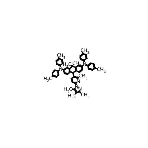 Cc1ccc(N(c2ccc(C)cc2)c2ccc3c(c2)C(C)(C)c2cc(N(c4ccc(C)cc4)c4ccc(C)cc4)ccc2C3c2ccc(-n3nc(C)c(C)c3C)nc2C)cc1